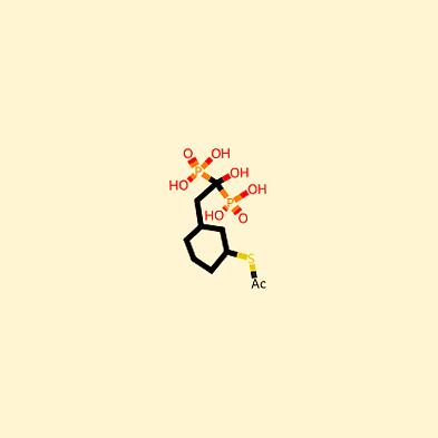 CC(=O)SC1CCCC(CC(O)(P(=O)(O)O)P(=O)(O)O)C1